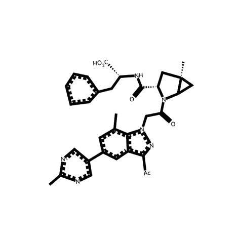 CC(=O)c1nn(CC(=O)N2C3C[C@]3(C)C[C@H]2C(=O)N[C@H](Cc2ccccc2)C(=O)O)c2c(C)cc(-c3cnc(C)nc3)cc12